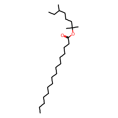 CCCCCCCCCCCCCCCC(=O)OC(C)(C)CCCC(C)CC